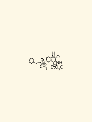 CCOC(=O)c1c[nH]c2c(=O)[nH]c3ccc(S(=O)(=O)N(C)CCc4ccccc4)cc3c12